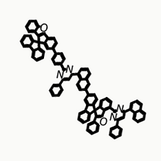 c1ccc(-c2cc(-c3cccc4cc(-c5ccc6c(c5)-c5ccccc5C65c6cccc(-c7nc(-c8ccccc8)cc(-c8cccc9ccccc89)n7)c6-c6oc7ccccc7c65)ccc34)nc(-c3ccc(-c4ccc5c(c4)C4(c6ccccc6-c6ccccc64)c4c-5oc5ccccc45)cc3)n2)cc1